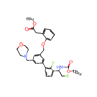 CC(C)(C)OC(=O)Cc1ccccc1OCc1cc(CN2CCOCC2)cc(-c2cccc(C(CF)NC(=O)OC(C)(C)C)c2F)c1